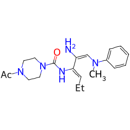 CC/C=C(NC(=O)N1CCN(C(C)=O)CC1)/C(N)=C\N(C)c1ccccc1